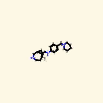 c1cc(NCC2C3CC[C@H]2CCNC3)ccc1CN1CCCCC1